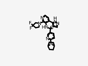 O=C(Nc1c(-c2ccn[nH]2)ccnc1N1CCC(F)(F)C1)c1ccc(N2C3CCC2CC3)nc1